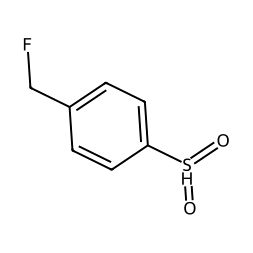 O=[SH](=O)c1ccc(CF)cc1